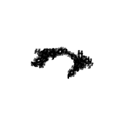 CC(C)(C)C(NC(=O)COCCCCOc1ccc(-c2ncc(N3C(=S)N(c4ccc(C#N)c(C(F)(F)F)c4F)C(=O)C3(C)C)cc2F)cc1)C(=O)N1CCCC1c1nc(-c2ccc(F)cc2)c[nH]1